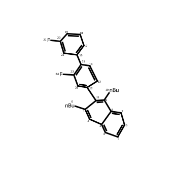 CCCCc1cc2ccccc2c(CCCC)c1-c1ccc(-c2cccc(F)c2)c(F)c1